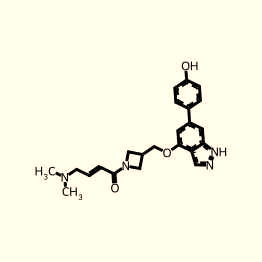 CN(C)C/C=C/C(=O)N1CC(COc2cc(-c3ccc(O)cc3)cc3[nH]ncc23)C1